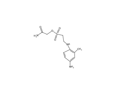 Cc1cc(N)ccc1NCCS(=O)(=O)OCC(N)=O